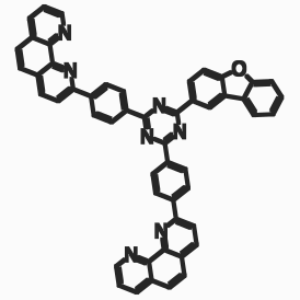 c1cnc2c(c1)ccc1ccc(-c3ccc(-c4nc(-c5ccc(-c6ccc7ccc8cccnc8c7n6)cc5)nc(-c5ccc6oc7ccccc7c6c5)n4)cc3)nc12